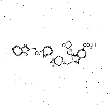 O=C(O)c1ccc2nc(CN3CC[C@]4(c5cccc(OCc6nc7ccccc7s6)n5)C[C@@H]4C3)n(C[C@@H]3CCO3)c2c1